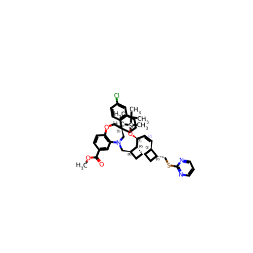 COC(=O)c1ccc2c(c1)N(C[C@@H]1CC[C@H]1[C@H](/C=C\[C@@H]1CC[C@H]1CSc1ncccn1)O[Si](C)(C)C(C)(C)C)C[C@@]1(CCCc3cc(Cl)ccc31)CO2